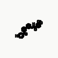 O=C(NCc1cccc(-c2cccc(C(=O)N3CCCNCC3)c2)c1)c1ccc2c(c1)OCO2